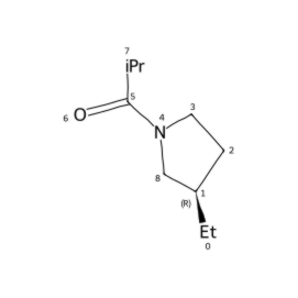 CC[C@@H]1CCN(C(=O)C(C)C)C1